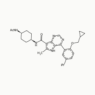 CC(=O)N[C@H]1CC[C@@H](NC(=O)c2c(C)[nH]c3c(-c4cc(C(C)C)ccc4OCC4CC4)ncnc23)CC1